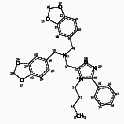 CCCCn1c(CN(Cc2ccc3c(c2)OCO3)Cc2ccc3c(c2)OCO3)nnc1-c1ccccc1